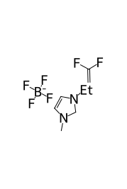 C=C(F)F.CCN1C=CN(C)C1.F[B-](F)(F)F